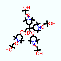 CC(C)(O)CON1C(C)(C)CC(OC(=O)CC(C(=O)OC2CC(C)(C)N(OCC(C)(C)O)C(C)(C)C2)(C2CC(C)(C)N(OCC(C)(C)O)C(C)(C)C2)C2CC(C)(C)N(OCC(C)(C)O)C(C)(C)C2)CC1(C)C